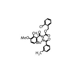 COc1cccc(C(=O)N(C(=O)OCc2ccccc2Cl)N(C(=O)c2cccc(C)c2)C(C)(C)C)c1C